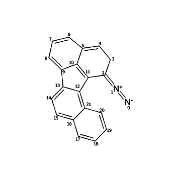 [N-]=[N+]=C1CC=c2cccc3c2=C1c1c-3ccc2ccccc12